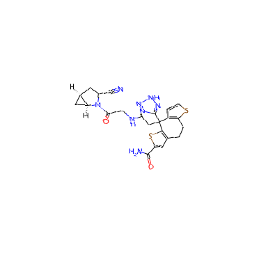 C[C@@H](CC1(c2nn[nH]n2)c2ccsc2CCc2cc(C(N)=O)sc21)NCC(=O)N1C(C#N)C[C@@H]2C[C@@H]21